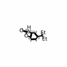 CCC(CC)c1ccc2oc(=O)[nH]c2c1